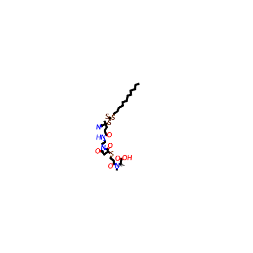 CCCCCCCCCCCCSC(=S)SC(C)(C#N)CCC(=O)NCCN1C(=O)CC(SCCC(=O)N(C)[C@@H](C)C(=O)O)C1=O